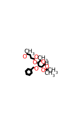 CC(=O)CCC(=O)O[C@@H]1C(C)O[C@H]2OC(C)(C)OC2C1OCc1ccccc1